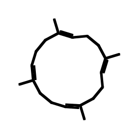 C/C1=C/CC/C(C)=C/CC/C(C)=C/CC/C(C)=C\CC1